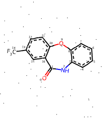 O=C1Nc2ccccc2Oc2ccc(C(F)(F)F)cc21